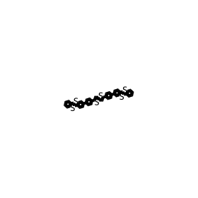 c1ccc2c(c1)sc1c3ccc(-c4ccc(-c5cc6sc(-c7ccc(-c8ccc9c(c8)sc8c%10ccccc%10sc98)cc7)cc6s5)cc4)cc3sc21